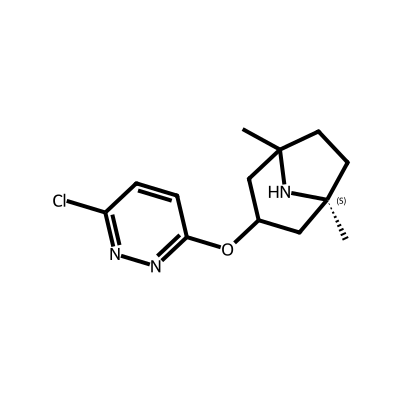 CC12CC[C@@](C)(CC(Oc3ccc(Cl)nn3)C1)N2